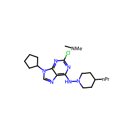 CCCC1CCN(Nc2nc(Cl)nc3c2ncn3C2CCCC2)CC1.CNC